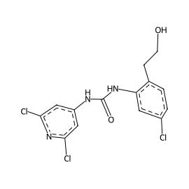 O=C(Nc1cc(Cl)nc(Cl)c1)Nc1cc(Cl)ccc1CCO